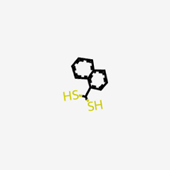 S[C](S)c1cccc2ccccc12